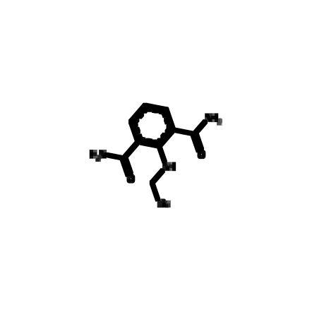 CCC(C)CNc1c(C(N)=O)cccc1C(N)=O